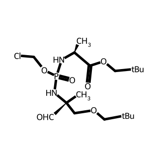 C[C@H](NP(=O)(N[C@@](C)(C=O)COCC(C)(C)C)OCCl)C(=O)OCC(C)(C)C